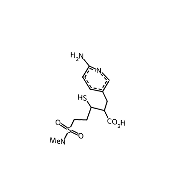 CNS(=O)(=O)CCC(S)C(Cc1ccc(N)nc1)C(=O)O